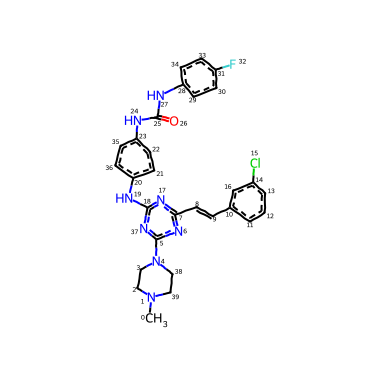 CN1CCN(c2nc(C=Cc3cccc(Cl)c3)nc(Nc3ccc(NC(=O)Nc4ccc(F)cc4)cc3)n2)CC1